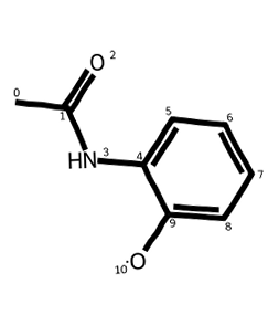 CC(=O)Nc1ccccc1[O]